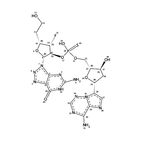 Nc1nc2c(nnn2[C@@H]2O[C@H](CCO)[C@H](F)[C@H]2OP(O)(=S)OC[C@H]2O[C@@H](c3cnc4c(N)ncnn34)C[C@@H]2O)c(=O)[nH]1